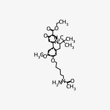 CCOC(=O)c1cn2c(cc1=O)-c1cc(OC)c(OCCCCCN(N)C(C)=O)cc1CC2C(C)(C)C